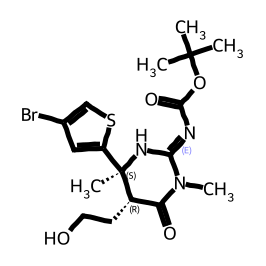 CN1C(=O)[C@H](CCO)[C@@](C)(c2cc(Br)cs2)N/C1=N\C(=O)OC(C)(C)C